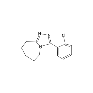 Clc1ccccc1-c1nnc2n1CCCCC2